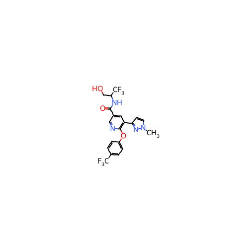 Cn1ccc(-c2cc(C(=O)NC(CO)C(F)(F)F)cnc2Oc2ccc(C(F)(F)F)cc2)n1